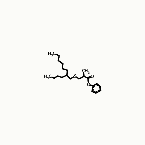 CCCCCCC(CCCC)CSCC(C)C(=O)Oc1ccccc1